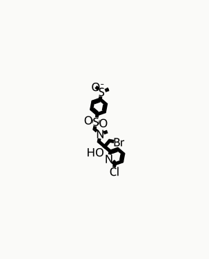 CN(CC(O)(CBr)c1cccc(Cl)n1)CS(=O)(=O)c1ccc([S+](C)[O-])cc1